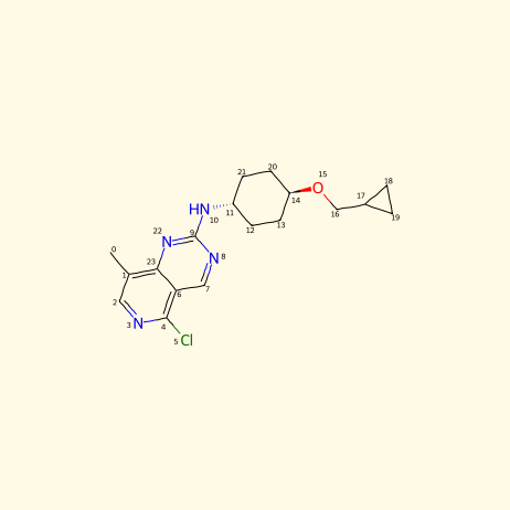 Cc1cnc(Cl)c2cnc(N[C@H]3CC[C@H](OCC4CC4)CC3)nc12